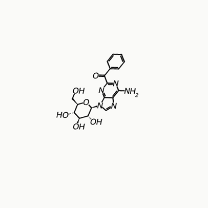 Nc1nc(C(=O)c2ccccc2)nc2c1ncn2[C@@H]1O[C@H](CO)[C@@H](O)[C@H](O)[C@H]1O